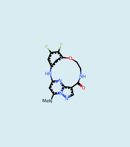 CNc1cc2nc3c(cnn13)C(=O)NCCOc1cc(cc(F)c1F)N2